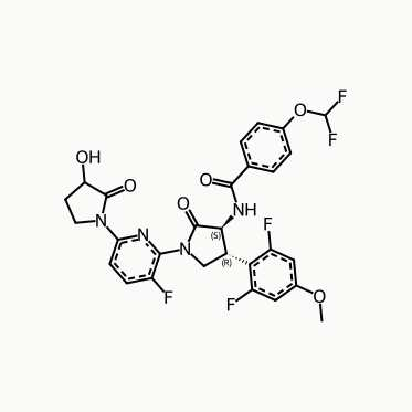 COc1cc(F)c([C@@H]2CN(c3nc(N4CCC(O)C4=O)ccc3F)C(=O)[C@H]2NC(=O)c2ccc(OC(F)F)cc2)c(F)c1